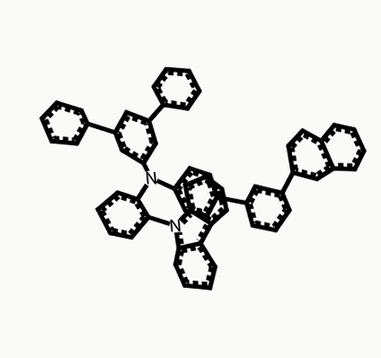 c1ccc(-c2cc(-c3ccccc3)cc(N(c3ccc(-c4cccc(-c5ccc6ccccc6c5)c4)cc3)c3ccccc3-n3c4ccccc4c4ccccc43)c2)cc1